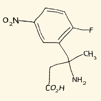 CC(N)(CC(=O)O)c1cc([N+](=O)[O-])ccc1F